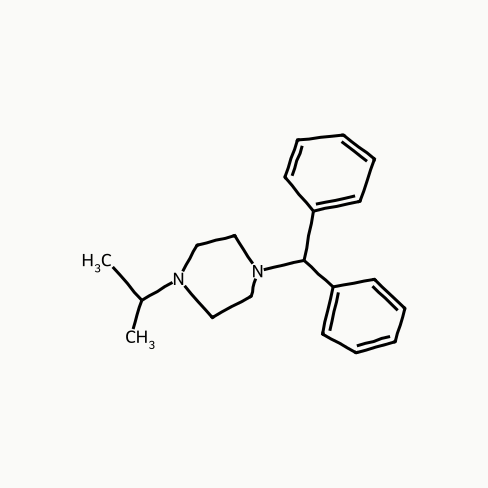 CC(C)N1CCN(C(c2ccccc2)c2ccccc2)CC1